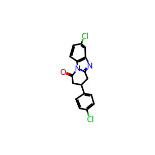 O=C1CC(c2ccc(Cl)cc2)Cc2nc3cc(Cl)ccc3n21